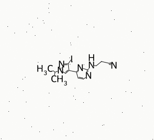 CC(C)n1cc(-c2ccnc(NCCC#N)n2)c(I)n1